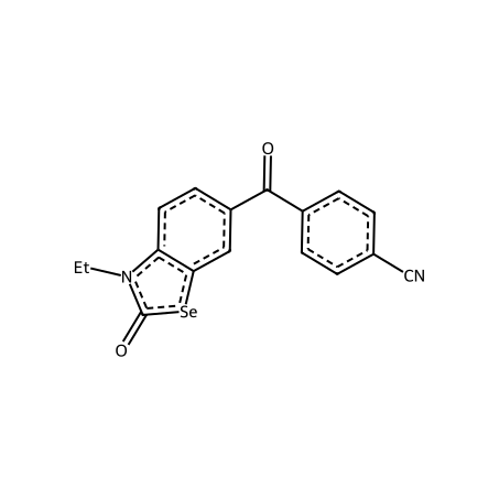 CCn1c(=O)[se]c2cc(C(=O)c3ccc(C#N)cc3)ccc21